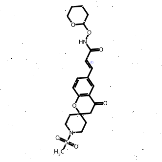 CS(=O)(=O)N1CCC2(CC1)CC(=O)c1cc(/C=C/C(=O)NOC3CCCCO3)ccc1O2